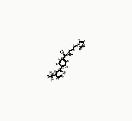 O=C(NCCCn1ccnc1)c1ccc(-c2cc(C(F)(F)F)ccn2)cc1